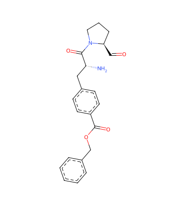 N[C@H](Cc1ccc(C(=O)OCc2ccccc2)cc1)C(=O)N1CCC[C@H]1[C]=O